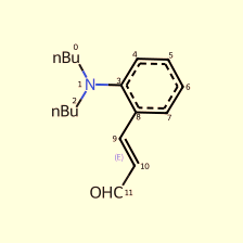 CCCCN(CCCC)c1ccccc1/C=C/C=O